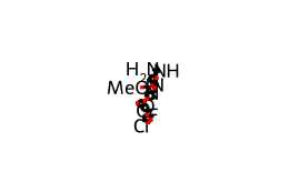 COCCn1c(CN2CCC(c3cccc4c3OC(C)(c3ccc(Cl)cc3F)O4)CC2)nc2cc(C(=N)N)ccc21